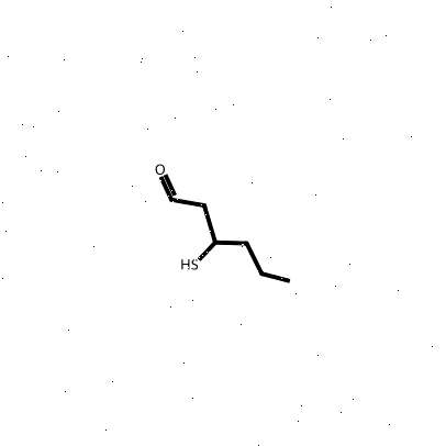 CCCC(S)CC=O